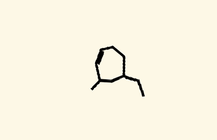 CCC1CCC=CC(C)C1